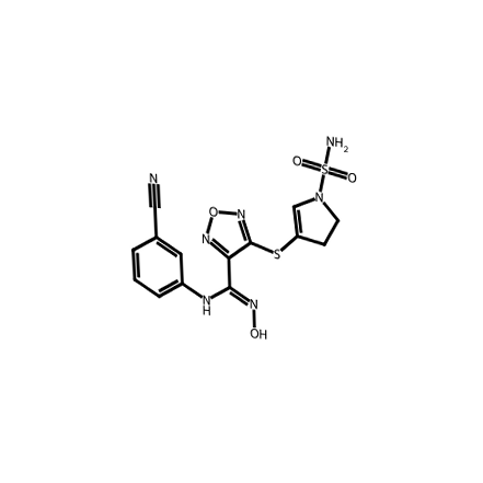 N#Cc1cccc(N/C(=N\O)c2nonc2SC2=CN(S(N)(=O)=O)CC2)c1